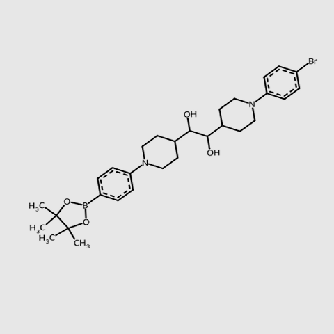 CC1(C)OB(c2ccc(N3CCC(C(O)C(O)C4CCN(c5ccc(Br)cc5)CC4)CC3)cc2)OC1(C)C